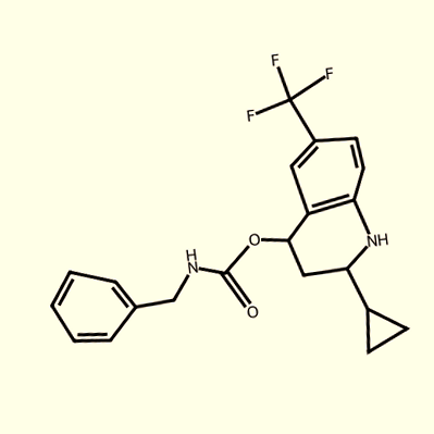 O=C(NCc1ccccc1)OC1CC(C2CC2)Nc2ccc(C(F)(F)F)cc21